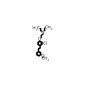 CCCN(CCC)CCCOc1ccc(C=Cc2cccc(OC)c2)cc1.Cl